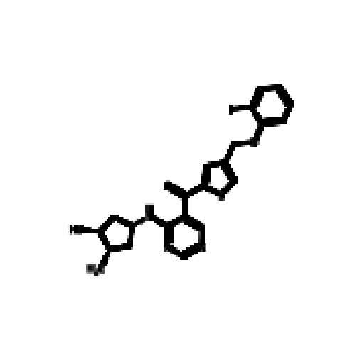 [CH2][C@@H]1C[C@@H](Nc2ncncc2C(=O)c2cc(COc3ccccc3I)cs2)C[C@@H]1O